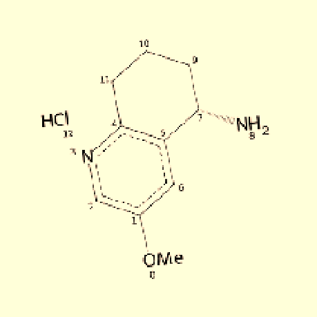 COc1cnc2c(c1)[C@@H](N)CCC2.Cl